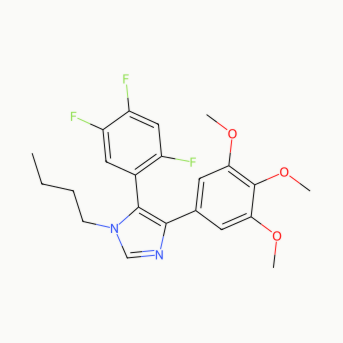 CCCCn1cnc(-c2cc(OC)c(OC)c(OC)c2)c1-c1cc(F)c(F)cc1F